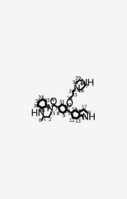 CC1CCN(C(=O)c2ccc(-c3ccc4[nH]ccc4c3)c(OCCCN3CCNCC3)c2)c2ccccc2N1